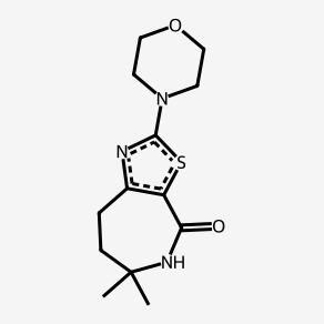 CC1(C)CCc2nc(N3CCOCC3)sc2C(=O)N1